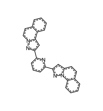 c1cc(-c2cc3c4ccccc4ccn3n2)nc(-c2cc3ccc4ccccc4n3n2)c1